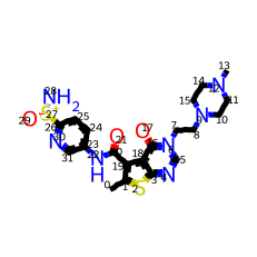 Cc1sc2ncn(CCN3CCN(C)CC3)c(=O)c2c1C(=O)Nc1ccc([S+](N)[O-])nc1